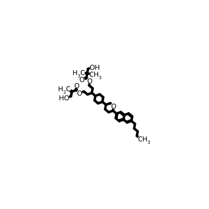 C=C(CO)C(=O)OCCC(CCOC(=O)C(C)(C)CO)C1CCC(C2CCC(c3ccc4cc(CCCCC)ccc4c3)OC2)CC1